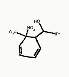 CC(C)C(O)C1C=CC=CC1([N+](=O)[O-])[N+](=O)[O-]